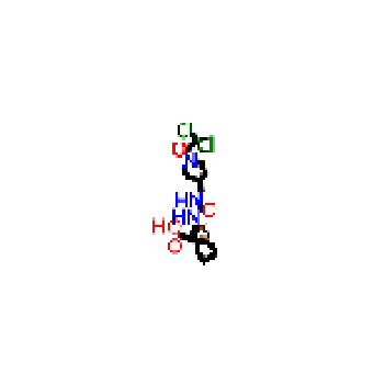 O=C(NCC1CCN(C(=O)C(Cl)Cl)CC1)Nc1sc2c(c1C(=O)O)CCCC2